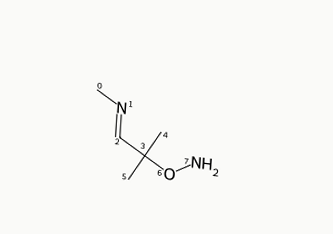 CN=CC(C)(C)ON